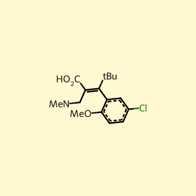 CNCC(C(=O)O)=C(c1cc(Cl)ccc1OC)C(C)(C)C